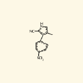 Cc1c[nH]c(C#N)c1-c1ccc([N+](=O)[O-])cc1